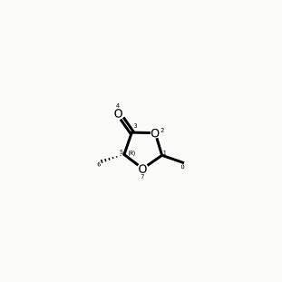 CC1OC(=O)[C@@H](C)O1